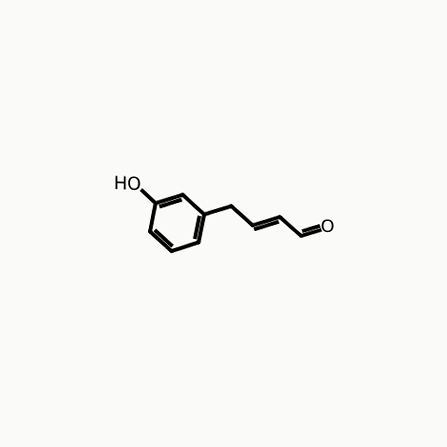 O=C/C=C/Cc1cccc(O)c1